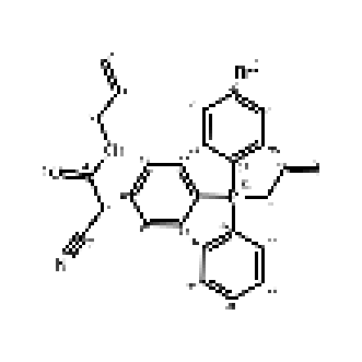 C=CCOC(=O)CC#N.C=CC[P+](c1ccccc1)(c1ccccc1)c1ccccc1.[Br-]